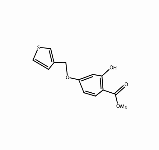 COC(=O)c1ccc(OCc2ccsc2)cc1O